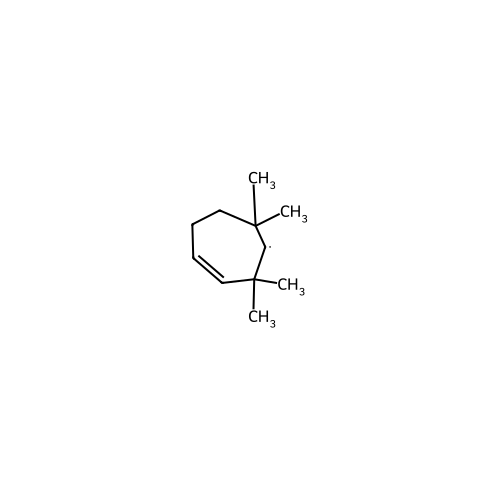 CC1(C)[CH]C(C)(C)CCC=C1